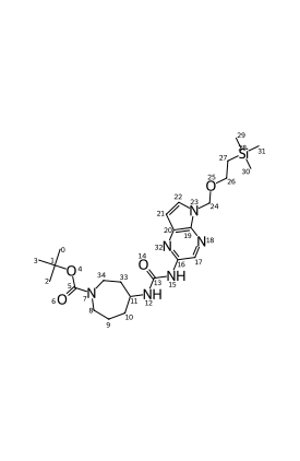 CC(C)(C)OC(=O)N1CCCC(NC(=O)Nc2cnc3c(ccn3COCC[Si](C)(C)C)n2)CC1